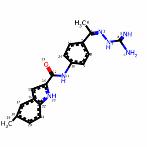 C/C(=N/NC(=N)N)c1ccc(NC(=O)c2cc3cc(C)ccc3[nH]2)cc1